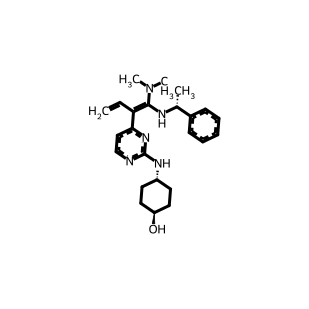 C=C/C(=C(/N[C@H](C)c1ccccc1)N(C)C)c1ccnc(N[C@H]2CC[C@H](O)CC2)n1